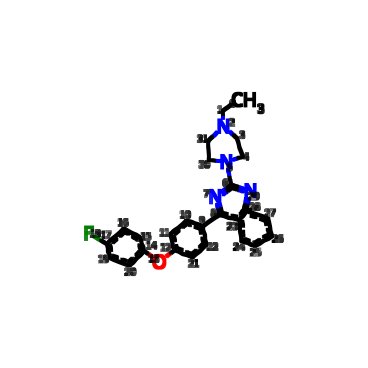 CCN1CCN(c2nc(-c3ccc(Oc4ccc(F)cc4)cc3)c3ccccc3n2)CC1